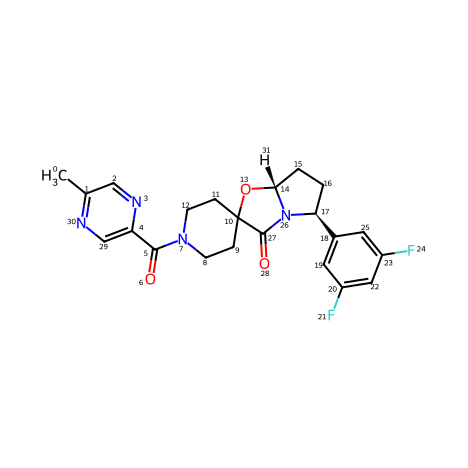 Cc1cnc(C(=O)N2CCC3(CC2)O[C@@H]2CC[C@@H](c4cc(F)cc(F)c4)N2C3=O)cn1